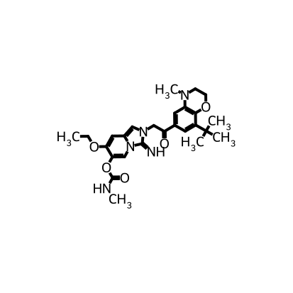 CCOc1cc2cn(CC(=O)c3cc4c(c(C(C)(C)C)c3)OCCN4C)c(=N)n2cc1OC(=O)NC